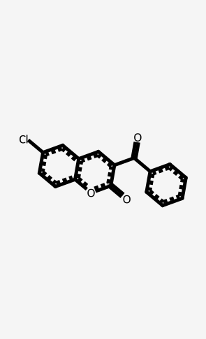 O=C(c1ccccc1)c1cc2cc(Cl)ccc2oc1=O